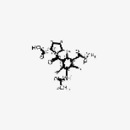 CNC(=O)c1c(I)c(NC(C)=O)c(I)c(C(=O)N2CCC[C@H]2C(=O)O)c1I